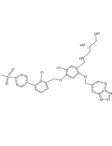 CS(=O)(=O)c1ccc(-c2cccc(COc3cc(OCc4ccc5nonc5c4)c(CNC[C@H](O)CO)cc3Cl)c2Cl)cc1